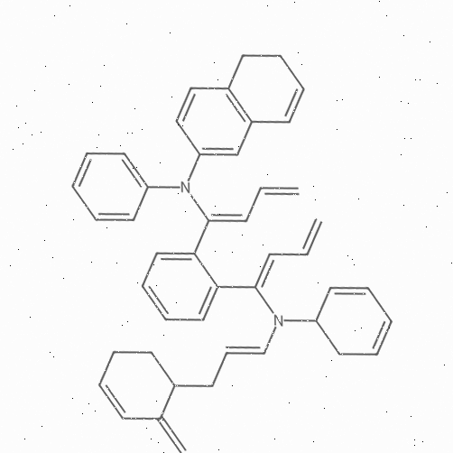 C=C/C=C(/c1ccccc1/C(=C/C=C)N(/C=C/CC1CCC=CC1=C)C1C=CC=CC1)N(c1ccccc1)c1ccc2c(c1)C=CCC2